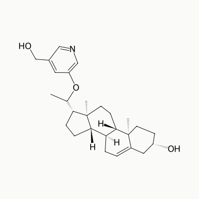 CC(Oc1cncc(CO)c1)[C@H]1CC[C@H]2[C@@H]3CC=C4C[C@@H](O)CC[C@]4(C)[C@H]3CC[C@]12C